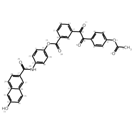 CC(=O)Oc1ccc(C(=O)C(=O)c2cccc(C(=O)Oc3ccc(NC(=O)c4ccc5cc(O)ccc5c4)cc3)c2)cc1